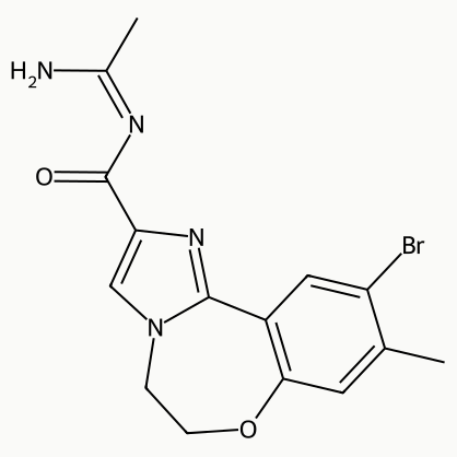 C/C(N)=N/C(=O)c1cn2c(n1)-c1cc(Br)c(C)cc1OCC2